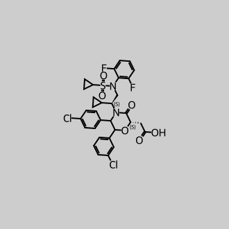 O=C(O)C[C@@H]1OC(c2cccc(Cl)c2)C(c2ccc(Cl)cc2)N([C@H](CN(c2c(F)cccc2F)S(=O)(=O)C2CC2)C2CC2)C1=O